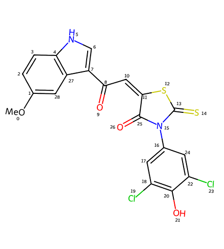 COc1ccc2[nH]cc(C(=O)/C=C3/SC(=S)N(c4cc(Cl)c(O)c(Cl)c4)C3=O)c2c1